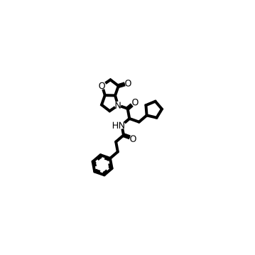 O=C(CCc1ccccc1)NC(CC1CCCC1)C(=O)N1CCC2OCC(=O)C21